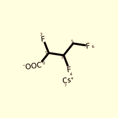 O=C([O-])C(F)C(F)CF.[Cs+]